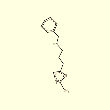 Cc1nc(CCCNCc2ccccc2)c[nH]1